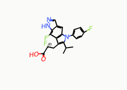 CC(C)c1c(C[C@@H](F)C(=O)O)c2c(F)c3[nH]ncc3cc2n1-c1ccc(F)cc1